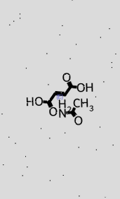 CC(N)=O.O=C(O)/C=C/C(=O)O